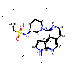 N#CCS(=O)(=O)NC1CCCN(c2nccc3cnc4[nH]ccc4c23)C1